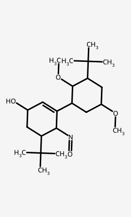 COC1CC(C2=CC(O)CC(C(C)(C)C)C2N=O)C(OC)C(C(C)(C)C)C1